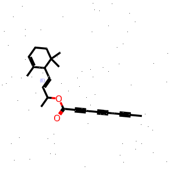 CC#CC#CC#CC(=O)OC(C)/C=C/C1C(C)=CCCC1(C)C